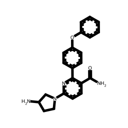 NC(=O)c1ccc(N2CCC(N)C2)nc1-c1ccc(Oc2ccccc2)cc1